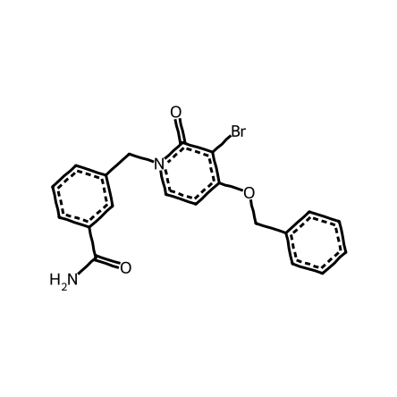 NC(=O)c1cccc(Cn2ccc(OCc3ccccc3)c(Br)c2=O)c1